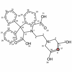 O=C(O)CN(CCN(CC(=O)O)C(C(=O)O)C(c1ccccc1)(c1ccccc1)c1ccccc1)CC(=O)O